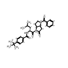 CC(C)C[C@H](NC(=O)c1ccc(C(C)(C)C)cc1)C(=O)N1C(=O)CC2C1CCN2C(=O)c1ccccc1